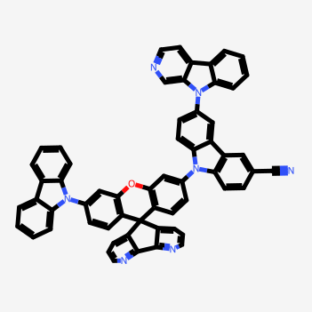 N#Cc1ccc2c(c1)c1cc(-n3c4ccccc4c4ccncc43)ccc1n2-c1ccc2c(c1)Oc1cc(-n3c4ccccc4c4ccccc43)ccc1C21c2cccnc2-c2ncccc21